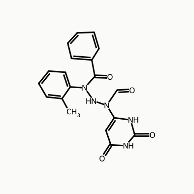 Cc1ccccc1N(NN(C=O)c1cc(=O)[nH]c(=O)[nH]1)C(=O)c1ccccc1